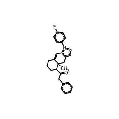 C[C@]12Cc3cnn(-c4ccc(F)cc4)c3C=C1CCC[C@@H]2C(=O)Cc1ccccc1